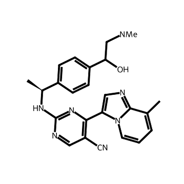 CNCC(O)c1ccc([C@H](C)Nc2ncc(C#N)c(-c3cnc4c(C)cccn34)n2)cc1